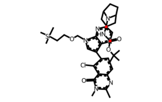 Cc1nc2ccc(-c3cn(COCC[Si](C)(C)C)c4nc(N5C6CCC5CC(NC(=O)OC(C)(C)C)C6)cnc34)c(Cl)c2c(=O)n1C